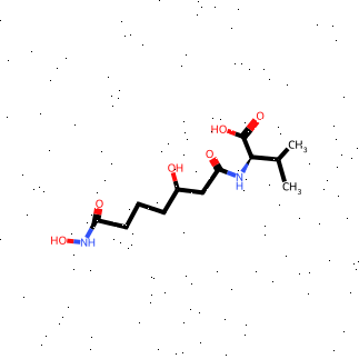 CC(C)[C@@H](NC(=O)CC(O)CCCC(=O)NO)C(=O)O